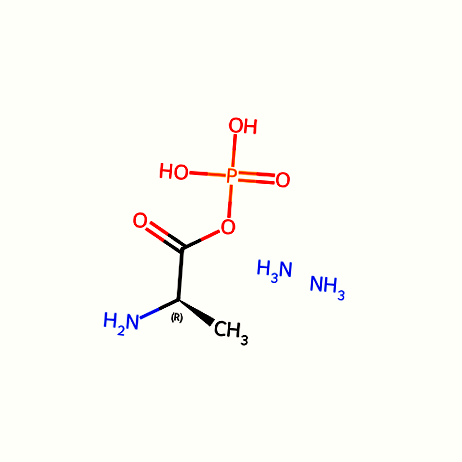 C[C@@H](N)C(=O)OP(=O)(O)O.N.N